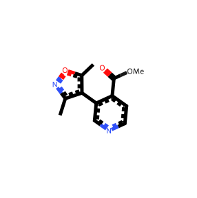 COC(=O)c1ccncc1-c1c(C)noc1C